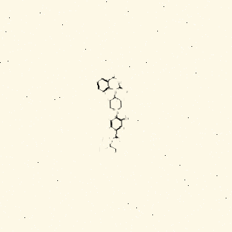 CC[C@H](CO)NC(=O)c1ccc(N2CCC(N3C(=O)OCc4ccccc43)CC2)c([N+](=O)[O-])c1